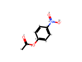 CC(=O)Oc1ccc([N+](=O)[O-])cc1